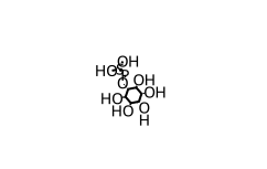 O[C@H]1[C@@H](O)[C@@H](O)[C@H](OP=S(O)O)[C@@H](O)[C@@H]1O